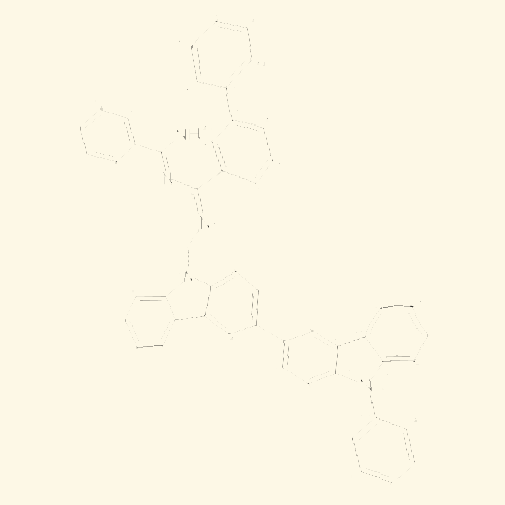 N/C(=N\C(=N/Cn1c2ccccc2c2cc(-c3ccc4c(c3)c3ccccc3n4-c3ccccc3)ccc21)c1cccc(-c2ccccc2)c1)c1ccccc1